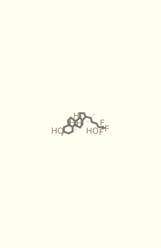 C[C@H](CCC(O)C(F)(F)F)C1CC[C@H]2[C@@H]3CC=C4C[C@@](C)(O)CC[C@]4(C)[C@H]3CC[C@]12C